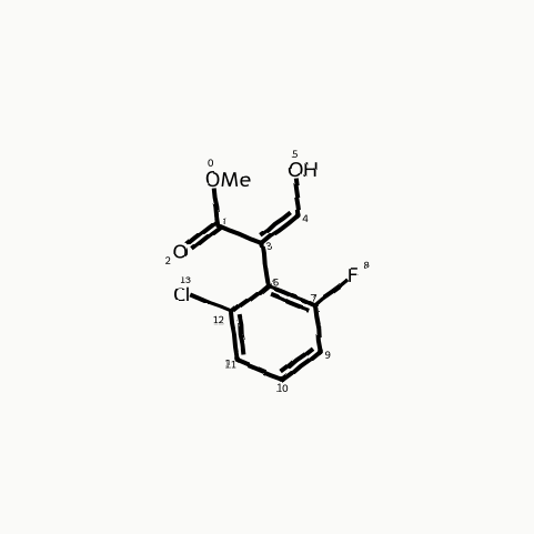 COC(=O)C(=CO)c1c(F)cccc1Cl